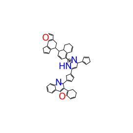 C1=CC(C2=N[C@H](C3=C4C=CCCC4C(C4Cc5ccoc5C5=C4C=CC5)C=C3)NC(C3=CC=C(c4nc5ccccc5c5oc6c(c45)CCC=C6)C3)=C2)=CC1